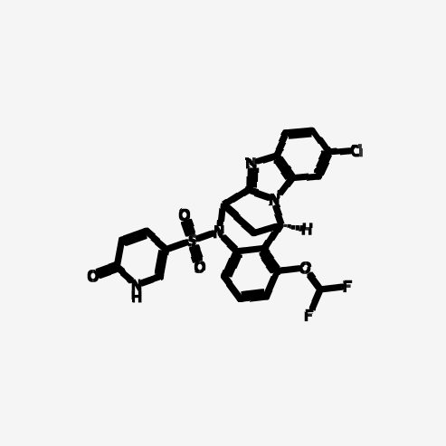 O=c1ccc(S(=O)(=O)N2c3cccc(OC(F)F)c3[C@H]3CC2c2nc4ccc(Cl)cc4n23)c[nH]1